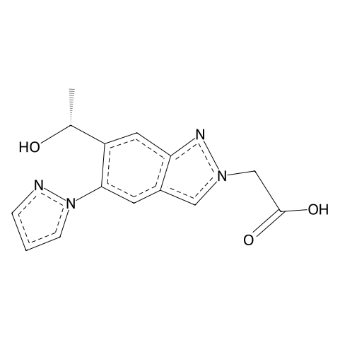 C[C@@H](O)c1cc2nn(CC(=O)O)cc2cc1-n1cccn1